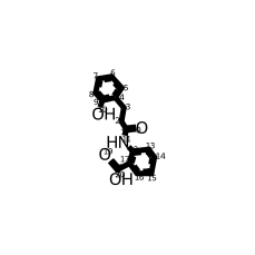 O=C(CCc1ccccc1O)Nc1ccccc1C(=O)O